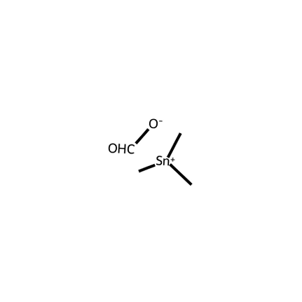 O=C[O-].[CH3][Sn+]([CH3])[CH3]